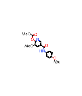 CCCCOc1ccc(NC(=O)c2cnc(OC(=O)OC)c(OC)c2)cc1